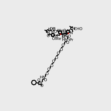 COc1cc(C)c(/N=C\C2CC(C)=CN2C=O)cc1OCCCCCOc1cc2c(cc1OC)C(=O)N1C=C(C)C[C@@H]1C(O)N2C(=O)OCc1ccc(NC(=O)C(C)NC(=O)[C@@H](NC(=O)CCOCCOCCOCCOCCOCCOCCOCCOCCNC(=O)CCN2C(=O)CC(C3CCCCCCC3)C2=O)C(C)C)cc1